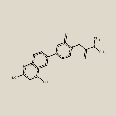 Cc1cc(O)c2cc(-c3ccn(CC(=O)N(C)C)c(=O)c3)ccc2n1